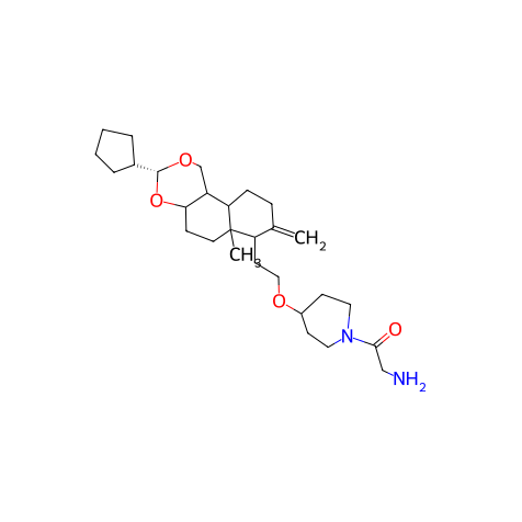 C=C1CCC2C3CO[C@@H](C4CCCC4)OC3CCC2(C)C1CCOC1CCN(C(=O)CN)CC1